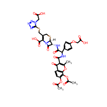 CC(=O)Oc1ccc2c(=O)c(C(=O)NC(C(=O)N[C@@H]3C(=O)N4C(C(=O)O)=C(CSc5nnnn5CC(=O)O)CS[C@@H]34)c3ccc(OCC(=O)O)cc3)c(C)oc2c1OC(C)=O